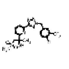 CC(O)(CS(N)(=O)=O)c1cccc(-c2nnn(Cc3ccc(Cl)c(C(F)(F)F)c3)n2)n1